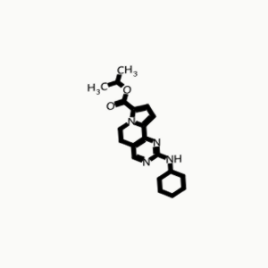 CC(C)OC(=O)c1ccc2n1CCc1cnc(NC3CCCCC3)nc1-2